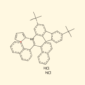 CC(C)(C)c1ccc2c(c1)-c1cc(C(C)(C)C)c[c]([Hf]([C]3=CC=CC3)=[C](c3cccc4ccccc34)c3cccc4ccccc34)c1C2.Cl.Cl